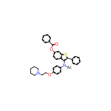 CC(=O)N(c1ccc(OCCN2CCCCC2)cc1)c1c(-c2ccccc2)sc2cc(OC(=O)c3ccccc3)ccc12